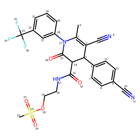 CC1=C(C#N)C(c2ccc(C#N)cc2)C(C(=O)NCCOS(C)(=O)=O)C(=O)N1c1cccc(C(F)(F)F)c1